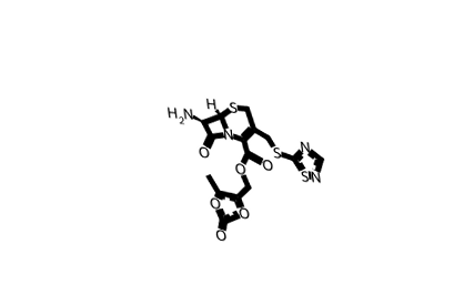 Cc1oc(=O)oc1COC(=O)C1=C(CSc2ncns2)CS[C@H]2[C@H](N)C(=O)N12